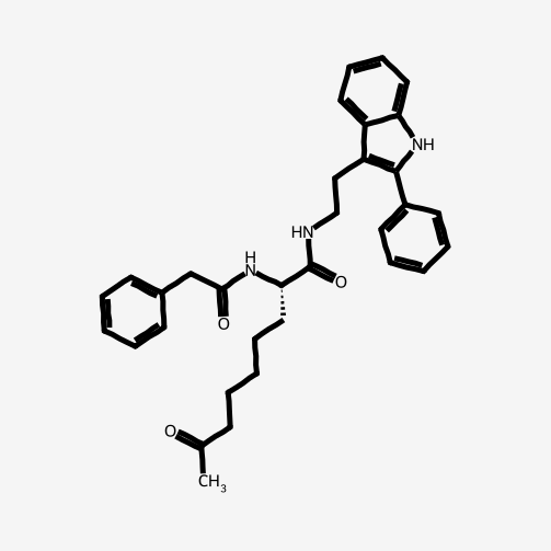 CC(=O)CCCCC[C@H](NC(=O)Cc1ccccc1)C(=O)NCCc1c(-c2ccccc2)[nH]c2ccccc12